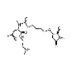 CNCCNC(=O)C(CC(C)=O)N(C)C(=O)CCCCCSC1CC(=O)N(C)C1=O